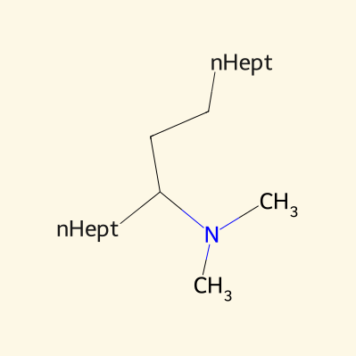 CCCCCCCCCC(CCCCCCC)N(C)C